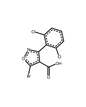 O=C(O)c1c(-c2c(Cl)cccc2Cl)noc1Br